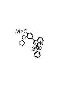 COc1ccc(-c2cn(S(=O)(=O)c3ccccc3)c3ncccc23)cc1OC1CCCC1